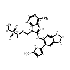 Cc1ccc(-c2cc3c(cc2Sc2nc4c(N)ncnc4n2CCNS(=O)(=O)CC(C)C)OCO3)o1